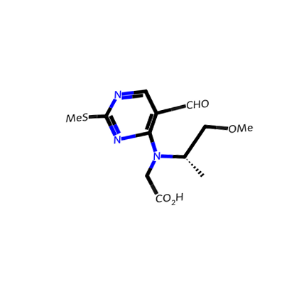 COC[C@H](C)N(CC(=O)O)c1nc(SC)ncc1C=O